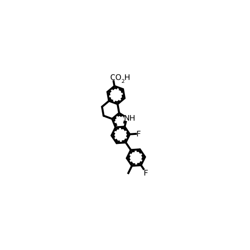 Cc1cc(-c2ccc3c4c([nH]c3c2F)-c2ccc(C(=O)O)cc2CC4)ccc1F